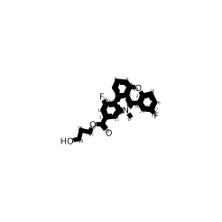 C[n+]1c2c3c(cccc3c3c(F)cc(C(=O)OCCCO)cc31)Oc1ccc(F)cc1-2